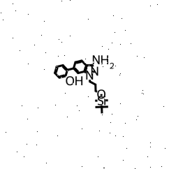 CC(C)(C)[Si](C)(C)OCCCn1nc(N)c2ccc(-c3ccccc3O)cc21